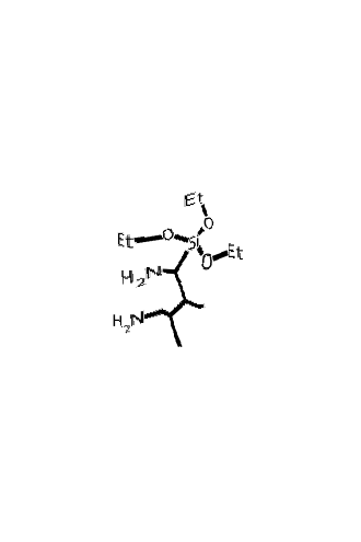 CCO[Si](OCC)(OCC)C(N)C(C)C(C)N